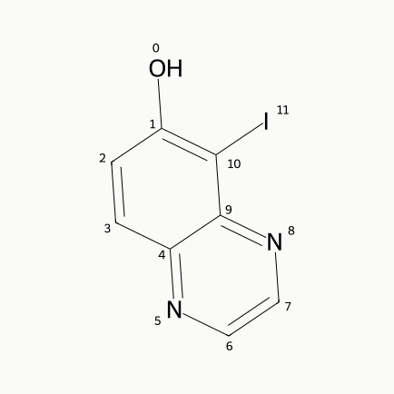 Oc1ccc2nccnc2c1I